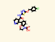 O=C(Nc1nnc(OCc2ccc(Cl)cc2)s1)c1ccncc1-c1cccc2c1OCCN2C(=O)O